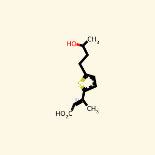 C/C(=C\C(=O)O)c1ccc(CCC(C)O)s1